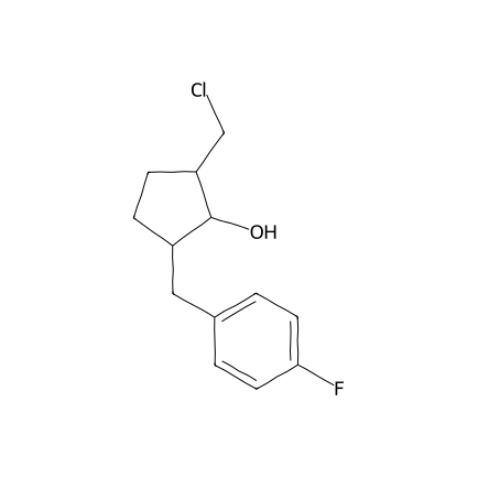 OC1C(CCl)CCC1Cc1ccc(F)cc1